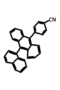 N#Cc1ccc(-c2c3ccccc3c(-c3cccc4ccccc34)c3ccccc23)cc1